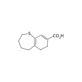 O=C(O)C1=CC2=C(CCCCS2)CC1